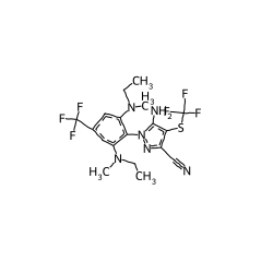 CCN(C)c1cc(C(F)(F)F)cc(N(C)CC)c1-n1nc(C#N)c(SC(F)(F)F)c1N